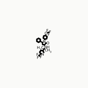 CC(C)(NC1=CC(c2ccccc2)N(c2ccc(OC(F)(F)F)cc2)C1=O)c1ccc(C(F)(F)F)nc1